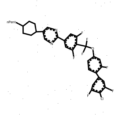 CCCCCC1CCC(c2cnc(-c3cc(F)c(C(F)(F)Oc4ccc(-c5cc(F)c(Cl)c(F)c5)c(F)c4)c(F)c3)nc2)CC1